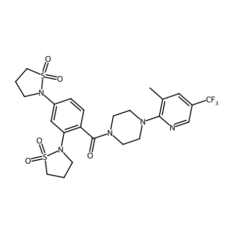 Cc1cc(C(F)(F)F)cnc1N1CCN(C(=O)c2ccc(N3CCCS3(=O)=O)cc2N2CCCS2(=O)=O)CC1